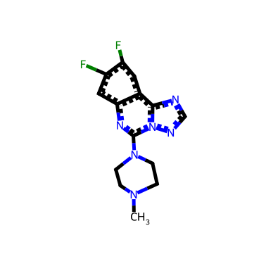 CN1CCN(c2nc3cc(F)c(F)cc3c3ncnn23)CC1